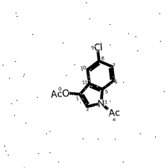 CC(=O)Oc1cn(C(C)=O)c2ccc(Cl)cc12